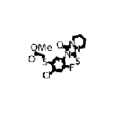 COC(=O)CSc1cc(-n2c(=O)n3n(c2=S)CCCC3)c(F)cc1Cl